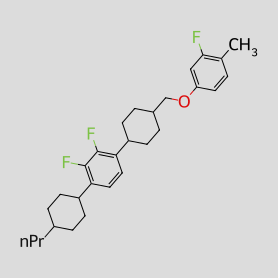 CCCC1CCC(c2ccc(C3CCC(COc4ccc(C)c(F)c4)CC3)c(F)c2F)CC1